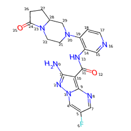 Nc1nn2cc(F)cnc2c1C(=O)Nc1cnccc1N1CCN2C(=O)CCC2C1